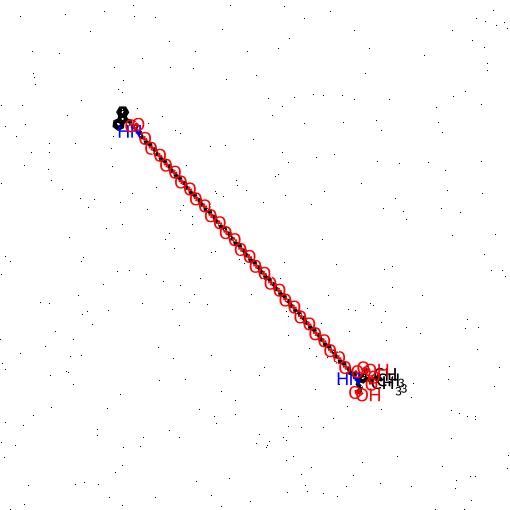 CC(C)(C)OC(=O)CCC(CCC(=O)O)(CCC(=O)O)NC(=O)CCOCCOCCOCCOCCOCCOCCOCCOCCOCCOCCOCCOCCOCCOCCOCCOCCOCCOCCOCCOCCOCCOCCOCCOCCOCCOCCOCCOCCNC(=O)OCC1c2ccccc2-c2ccccc21